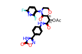 CC(=O)O[C@@H](C(=O)Nc1ccc(-c2noc(=O)[nH]2)cc1)[C@H]1OCCN(c2ccc(F)nc2F)C1=O